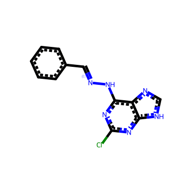 Clc1nc(N/N=C/c2ccccc2)c2nc[nH]c2n1